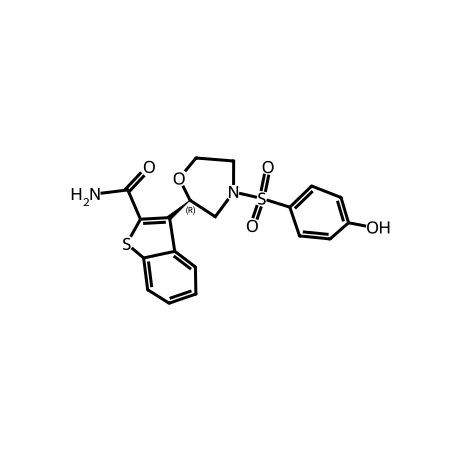 NC(=O)c1sc2ccccc2c1[C@@H]1CN(S(=O)(=O)c2ccc(O)cc2)CCO1